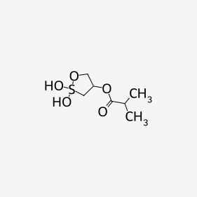 CC(C)C(=O)OC1COS(O)(O)C1